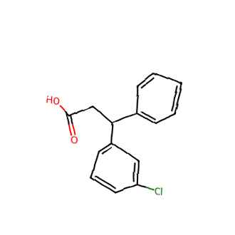 O=C(O)CC(c1ccccc1)c1cccc(Cl)c1